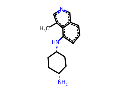 Cc1cncc2cccc(N[C@H]3CC[C@@H](N)CC3)c12